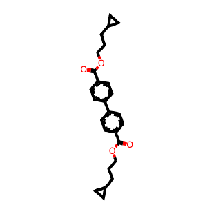 O=C(OCCCC1CC1)c1ccc(-c2ccc(C(=O)OCCCC3CC3)cc2)cc1